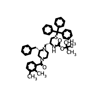 Cc1cccc(C(=O)N2CCN(C[C@H](CSC(c3ccccc3)(c3ccccc3)c3ccccc3)NC(=O)OC(C)(C)C)[C@@H](Cc3ccccc3)C2)c1C